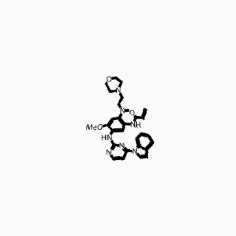 C=CC(=O)Nc1cc(Nc2nccc(-n3ccc4ccccc43)n2)c(OC)cc1N(C)CCN1CCOCC1